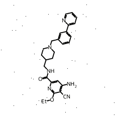 CCOc1nc(C(=O)NCC2CCN(Cc3cccc(-c4ccccn4)c3)CC2)cc(N)c1C#N